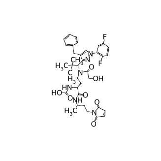 CC(CCN1C(=O)C=CC1=O)NC(=O)[C@H](CCN(C(=O)CO)[C@@H](c1nn(-c2cc(F)ccc2F)cc1Cc1ccccc1)C(C)(C)C)NC(=O)O